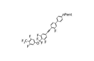 CCCCCc1ccc(-c2ccc(C#Cc3cc(F)c(C(F)(F)Oc4cc(F)c(C(F)(F)F)c(F)c4)c(F)c3)c(F)c2)cc1